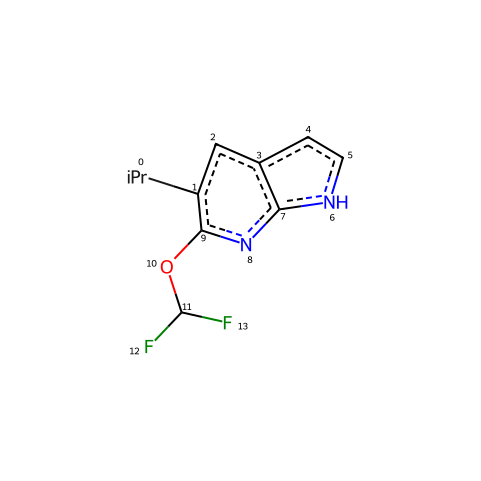 CC(C)c1cc2cc[nH]c2nc1OC(F)F